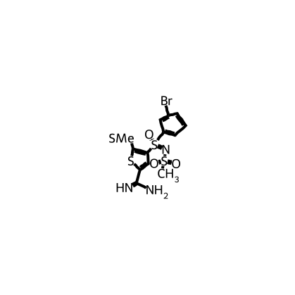 CSc1sc(C(=N)N)cc1S(=O)(=NS(C)(=O)=O)c1cccc(Br)c1